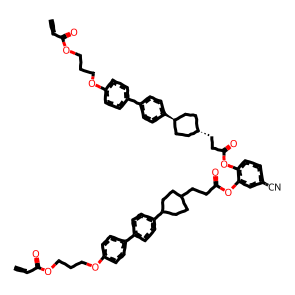 C=CC(=O)OCCCOc1ccc(-c2ccc(C3CCC(CCC(=O)Oc4cc(C#N)ccc4OC(=O)CC[C@H]4CC[C@H](c5ccc(-c6ccc(OCCCOC(=O)C=C)cc6)cc5)CC4)CC3)cc2)cc1